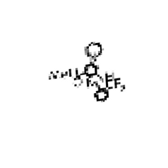 COC(=O)c1cc(N2CCCCCC2)cc2[nH]c(-c3ccccc3C(F)(F)F)nc12